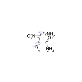 C/N=C(C(N)=O)/C(=C\N)[N+](=O)[O-]